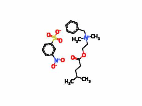 CC(C)CCC(=O)OCC[N+](C)(C)Cc1ccccc1.O=[N+]([O-])c1cccc(S(=O)(=O)[O-])c1